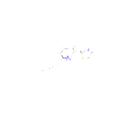 C=CCc1cccc(-c2nccs2)n1